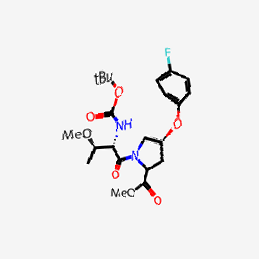 COC(=O)C1C[C@H](Oc2ccc(F)cc2)CN1C(=O)[C@@H](NC(=O)OC(C)(C)C)[C@@H](C)OC